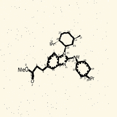 COC(=O)CCc1ccc2c(c1)nc(Nc1ccc(C(C)C)cc1)n2[C@@H]1C[C@H](C)CC[C@H]1C(C)C